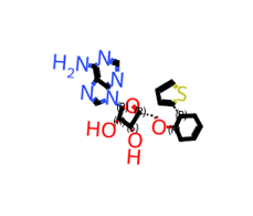 Nc1ncnc2c1ncn2[C@@H]1O[C@H](CO[C@@H]2CC=CC[C@H]2c2cccs2)[C@@H](O)[C@H]1O